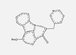 COc1ccc2c(=O)c(Cc3cccnc3)cn3c4ccccc4c1c23